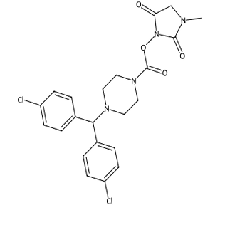 CN1CC(=O)N(OC(=O)N2CCN(C(c3ccc(Cl)cc3)c3ccc(Cl)cc3)CC2)C1=O